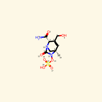 NC(=O)[C@@H]1C(CO)=C[C@@H]2CN1C(=O)N2OS(=O)(=O)O